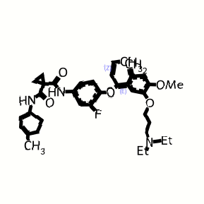 C=c1cc(OC)c(OCCCN(CC)CC)c/c1=C(/C=C\C)Oc1ccc(NC(=O)C2(C(=O)NC3=CC=C(C)CC3)CC2)cc1F